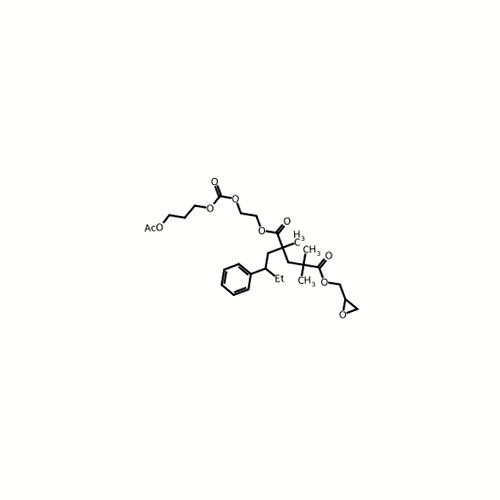 CCC(CC(C)(CC(C)(C)C(=O)OCC1CO1)C(=O)OCCOC(=O)OCCCOC(C)=O)c1ccccc1